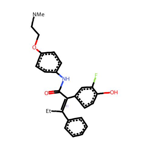 CC/C(=C(\C(=O)Nc1ccc(OCCNC)cc1)c1ccc(O)c(F)c1)c1ccccc1